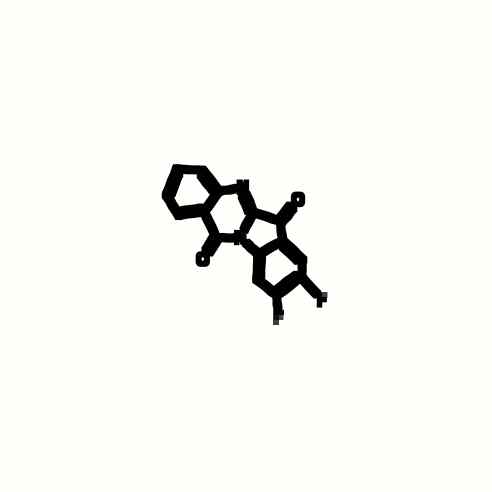 O=C1c2cc(F)c(F)cc2-n2c1nc1ccccc1c2=O